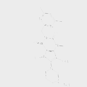 CCn1c(N2CCC[C@@H](N)C2)c(O)c2c1c(=O)n(Cc1nc(C)cc(C)n1)c(=O)n2C